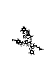 C=CCCCCC[C@H](NC(=O)OC1CCCC1)C(=O)N1C[C@@H](OS(=O)(=O)c2ccc(Br)cc2)C[C@H]1C(=O)N[C@]1(P(=O)(Cc2c(F)cccc2F)OCC)C[C@H]1C=C